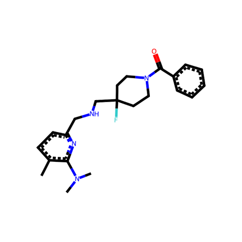 Cc1ccc(CNCC2(F)CCN(C(=O)c3ccccc3)CC2)nc1N(C)C